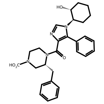 O=C(O)N1CCN(C(=O)c2ncn([C@@H]3CCCC[C@H]3O)c2-c2ccccc2)[C@H](Cc2ccccc2)C1